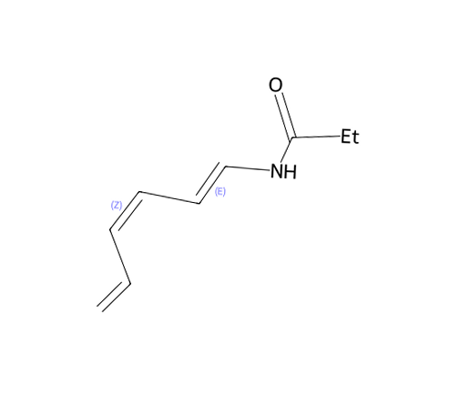 C=C/C=C\C=C\NC(=O)CC